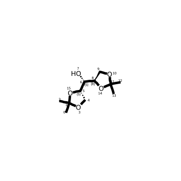 CC1(C)OC[C@@H]([C@H](O)[C@H]2COC(C)(C)O2)O1